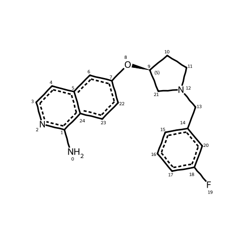 Nc1nccc2cc(O[C@H]3CCN(Cc4cccc(F)c4)C3)ccc12